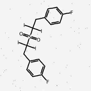 O=S(=O)(C(I)(I)Cc1ccc(F)cc1)C(I)(I)Cc1ccc(F)cc1